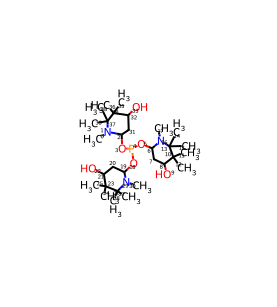 CN1C(OP(OC2CC(O)C(C)(C)C(C)(C)N2C)OC2CC(O)C(C)(C)C(C)(C)N2C)CC(O)C(C)(C)C1(C)C